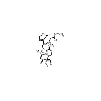 C=C1CCC2[C@](C)(C=O)C(=O)CC[C@@]2(C)[C@@H]1CC(NCC(=O)OC)C1=CCOC1=O